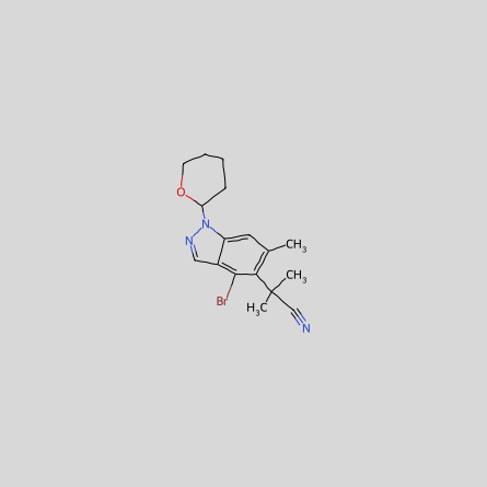 Cc1cc2c(cnn2C2CCCCO2)c(Br)c1C(C)(C)C#N